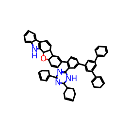 C1=CCCC(C2=NC(C3CC=CCC3)NC(c3cc(-c4cc(C5=CCCC=C5)cc(-c5ccccc5)c4)ccc3C3=CC4C(C=C3)OC3c5[nH]c6ccccc6c5C=CC34)=N2)=C1